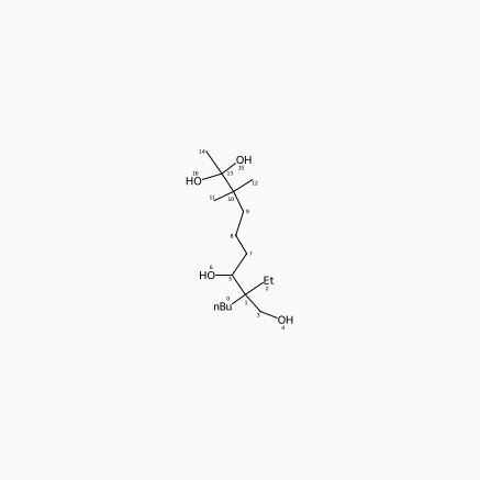 CCCCC(CC)(CO)C(O)CCCC(C)(C)C(C)(O)O